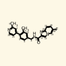 Cc1cc(-c2ccc(CNC(=O)c3cn4cc(F)ccc4n3)cc2C)ccn1